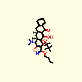 CCCCOc1noc2c1C(=O)[C@@]1(O[Si](C)(C)C(C)(C)C)C(O)=C3C(=O)c4ccccc4C[C@H]3C[C@H]1[C@@H]2N(C)C